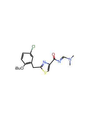 CC(C)COc1ccc(Cl)cc1Cc1nc(C(=O)N=CN(C)C)cs1